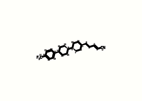 N#CC=CCC[C@H]1CC[C@H]([C@H]2CC[C@H](c3ccc(C(F)(F)F)cc3)CC2)CC1